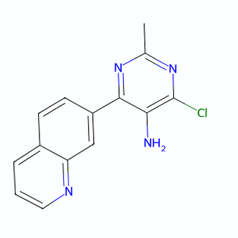 Cc1nc(Cl)c(N)c(-c2ccc3cccnc3c2)n1